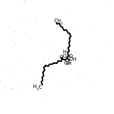 CCCCCCCC/C=C\CCCCCCCC(=O)C(O)C(O)(C(=O)O)C(=O)CCCCCCC/C=C\CCCCCCCC